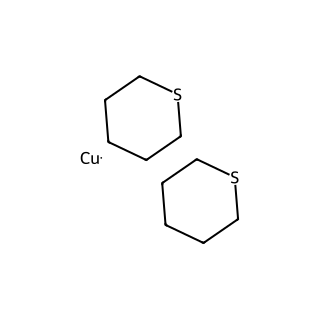 C1CCSCC1.C1CCSCC1.[Cu]